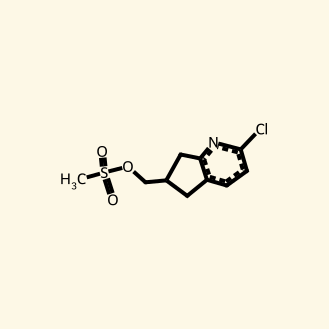 CS(=O)(=O)OCC1Cc2ccc(Cl)nc2C1